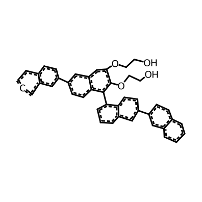 OCCOc1cc2cc(-c3ccc4ccccc4c3)ccc2c(-c2cccc3cc(-c4ccc5ccccc5c4)ccc23)c1OCCO